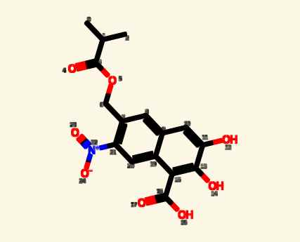 CC(C)C(=O)OCc1cc2cc(O)c(O)c(C(=O)O)c2cc1[N+](=O)[O-]